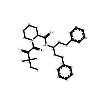 CCC(C)(C)C(=O)C(=O)N1CCCCC1C(=S)OC(CCc1ccccc1)CCc1ccccc1